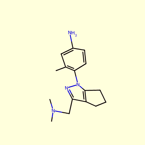 Cc1cc(N)ccc1-n1nc(CN(C)C)c2c1CCC2